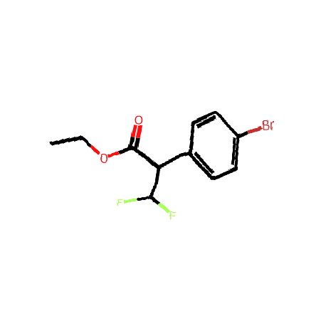 CCOC(=O)C(c1ccc(Br)cc1)C(F)F